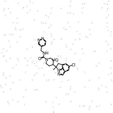 CC1(C2CCN(C(=O)NCc3ccnnc3)CC2)[C@H](O)c2cc(Cl)cc3cnn1c23